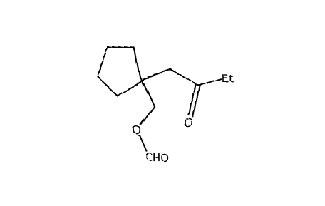 [CH2-][CH+]C(=O)CC1(COC=O)CCCC1